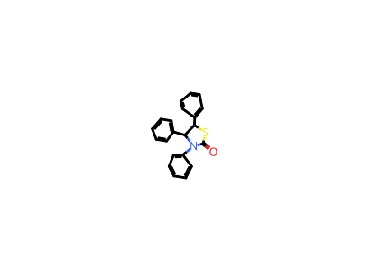 O=C1SC(c2ccccc2)C(c2ccccc2)N1c1ccccc1